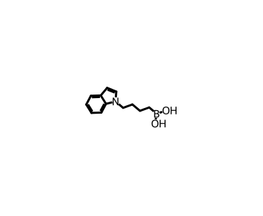 OB(O)CCCCn1ccc2ccccc21